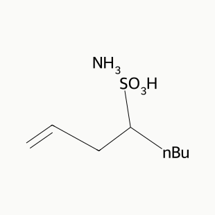 C=CCC(CCCC)S(=O)(=O)O.N